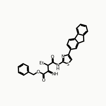 CCC(C(=N)C(=O)OCc1ccccc1)C(=O)Nc1nc(-c2ccc3c(c2)Cc2ccccc2-3)cs1